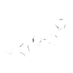 CC(F)(F)Oc1ccc(-c2noc([C@H](CO)NC(=O)c3ccc(Cl)cc3)n2)cc1